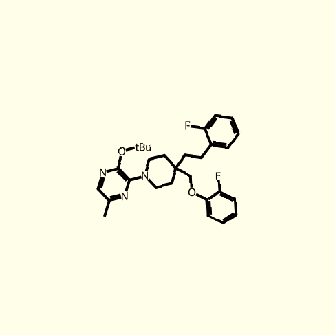 Cc1cnc(OC(C)(C)C)c(N2CCC(CCc3ccccc3F)(COc3ccccc3F)CC2)n1